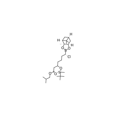 CC(C)COC(=O)CC(CCC[C@@H](Cl)B1O[C@@H]2C[C@@H]3C[C@@H](C3(C)C)[C@]2(C)O1)O[Si](C)(C)C(C)(C)C